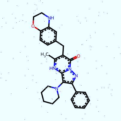 Cc1[nH]c2c(N3CCCCC3)c(-c3ccccc3)nn2c(=O)c1Cc1ccc2c(c1)NCCO2